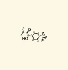 CC(C)C(=O)C(O)c1ccc(C(F)(F)F)cc1